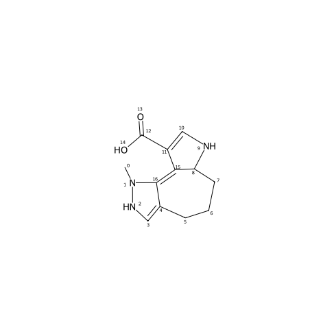 CN1NC=C2CCCC3NC=C(C(=O)O)C3=C21